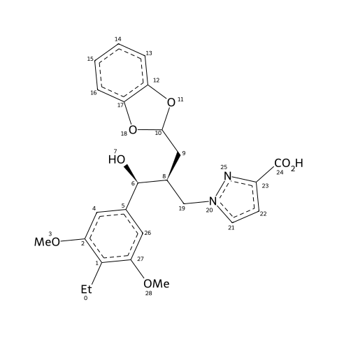 CCc1c(OC)cc([C@@H](O)[C@@H](CC2Oc3ccccc3O2)Cn2ccc(C(=O)O)n2)cc1OC